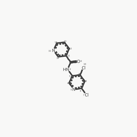 O=C(Nc1cnc(Cl)cc1Cl)c1cccnc1